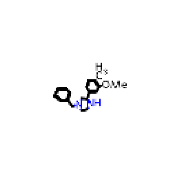 COc1cc(C2CN(Cc3ccccc3)CCN2)ccc1C